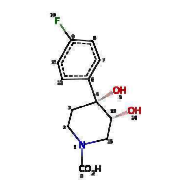 O=C(O)N1CC[C@@](O)(c2ccc(F)cc2)[C@H](O)C1